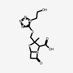 CC1(CSc2nnnn2CCO)SC2CC(=O)N2C1C(=O)O